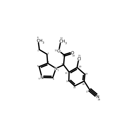 CCCc1cncn1C(C(=O)OC)c1ccc(C#N)cc1Cl